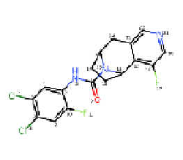 O=C(Nc1cc(Cl)c(Cl)cc1F)N1C2CCC1c1c(F)cncc1C2